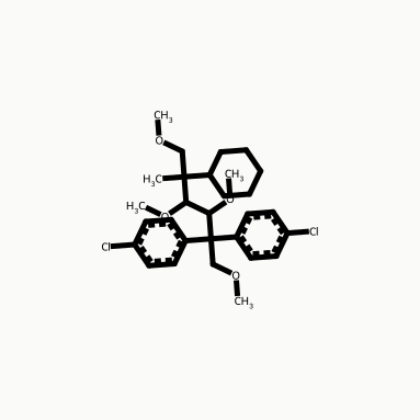 COCC(c1ccc(Cl)cc1)(c1ccc(Cl)cc1)C(OC)C(OC)C(C)(COC)C1CCCCC1